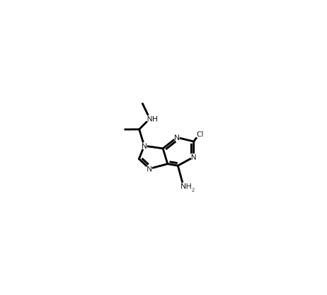 CNC(C)n1cnc2c(N)nc(Cl)nc21